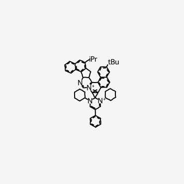 CC(C)c1cc2ccccc2c2c1CC1C3=[N+](C=NC21)C1(C)C(C)(c2ccc4cc(C(C)(C)C)ccc4c23)C12N(C1CCCCC1)C=C(c1ccccc1)C=[N+]2C1CCCCC1